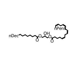 CCCCC/C=C\C/C=C\C/C=C\C/C=C\CCCC(=O)OC[C@H](O)COC(=O)CCCCCCCCCCCCCCCCC